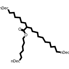 CCCCCCCCCCCCCCCCCCCCC(CCCCCCCCCCCCCCCC)C(=O)OCCCCCCCCCCCCCCCC